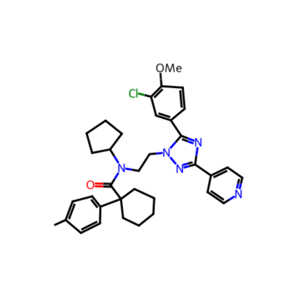 COc1ccc(-c2nc(-c3ccncc3)nn2CCN(C(=O)C2(c3ccc(C)cc3)CCCCC2)C2CCCC2)cc1Cl